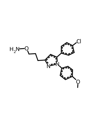 COc1ccc(-n2nc(CCCON)cc2-c2ccc(Cl)cc2)cc1